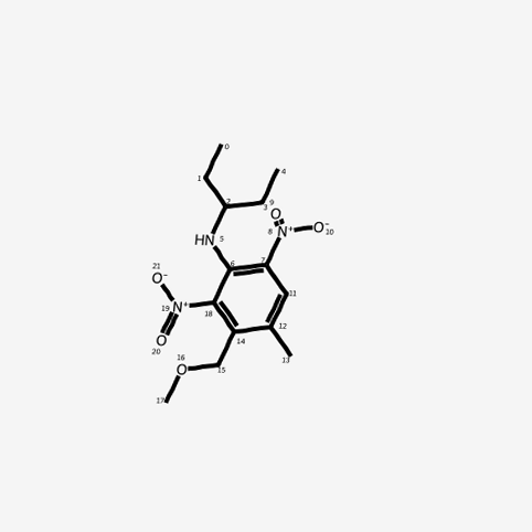 CCC(CC)Nc1c([N+](=O)[O-])cc(C)c(COC)c1[N+](=O)[O-]